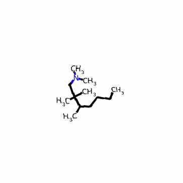 CCCCC(C)C(C)(C)CN(C)C